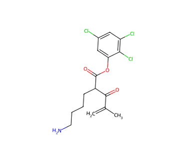 C=C(C)C(=O)C(CCCCN)C(=O)Oc1cc(Cl)cc(Cl)c1Cl